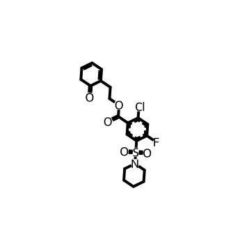 O=C1CC=CC=C1CCOC(=O)c1cc(S(=O)(=O)N2CCCCC2)c(F)cc1Cl